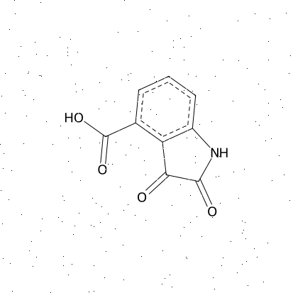 O=C1Nc2cccc(C(=O)O)c2C1=O